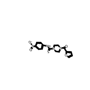 O=C(c1ccco1)N1CCN(C(=S)Nc2ccc([N+](=O)[O-])cc2)CC1